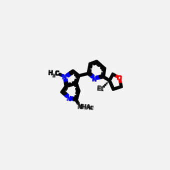 CC[C@@]1(c2cccc(-c3cn(C)c4cnc(NC(C)=O)cc34)n2)CCOC1